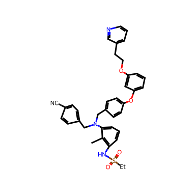 CCS(=O)(=O)Nc1cccc(N(Cc2ccc(C#N)cc2)Cc2ccc(Oc3cccc(OCCc4cccnc4)c3)cc2)c1C